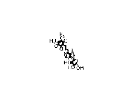 CC1=C(C)C(=O)C(CCNc2ncnc3c2ncn3[C@@H]2O[C@H](CO)[C@@H](O)[C@H]2O)=C(C)C1=O